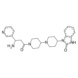 NC(CC(=O)N1CCC(N2CCC(n3c(=O)[nH]c4ccccc43)CC2)CC1)c1cccnc1